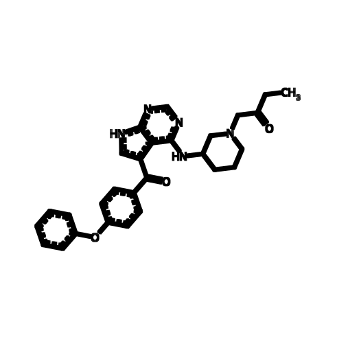 CCC(=O)CN1CCCC(Nc2ncnc3[nH]cc(C(=O)c4ccc(Oc5ccccc5)cc4)c23)C1